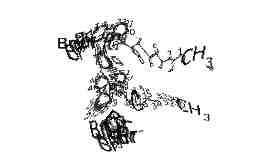 CCCCCCCCCCC[P+](c1ccccc1)(c1ccccc1)c1ccccc1.CCCCCCCCCCC[P+](c1ccccc1)(c1ccccc1)c1ccccc1.[Br][Mn-]([Br])([Br])[Br].[Br][Mn-]([Br])([Br])[Br]